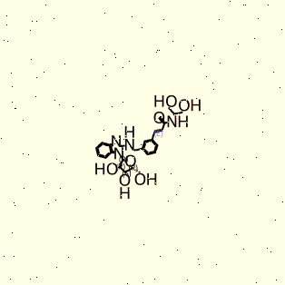 O=C(/C=C/c1cccc(CNc2nc3ccccc3n2[C@@H]2O[C@H](CO)[C@@H](O)[C@H]2O)c1)NC(CO)CO